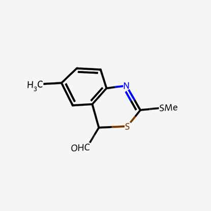 CSC1=Nc2ccc(C)cc2C(C=O)S1